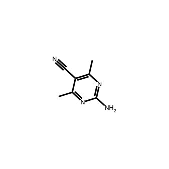 Cc1nc(N)nc(C)c1C#N